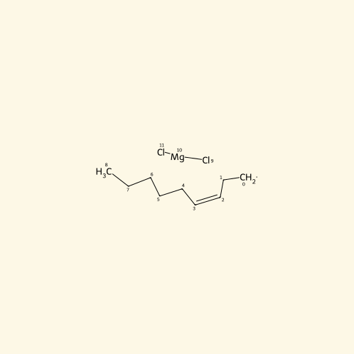 [CH2]C/C=C\CCCCC.[Cl][Mg][Cl]